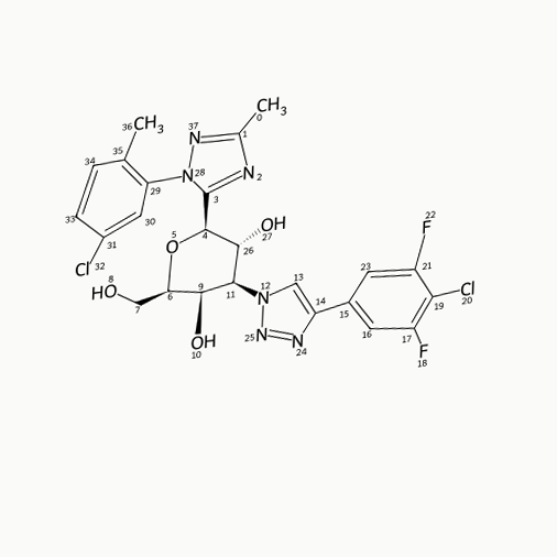 Cc1nc([C@@H]2O[C@H](CO)[C@H](O)[C@H](n3cc(-c4cc(F)c(Cl)c(F)c4)nn3)[C@H]2O)n(-c2cc(Cl)ccc2C)n1